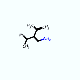 C=C(C)C(CN)C(C)C(C)C